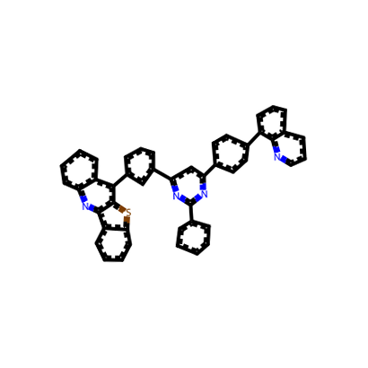 c1ccc(-c2nc(-c3ccc(-c4cccc5cccnc45)cc3)cc(-c3cccc(-c4c5ccccc5nc5c4sc4ccccc45)c3)n2)cc1